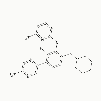 Nc1cnc(-c2ccc(CC3CCCCC3)c(Oc3nccc(N)n3)c2F)cn1